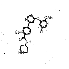 CCc1cc(-c2cc(Oc3cc(Cl)cnc3OC)ccn2)ccc1C(=O)NC1CCNCC1